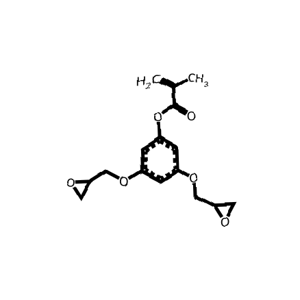 C=C(C)C(=O)Oc1cc(OCC2CO2)cc(OCC2CO2)c1